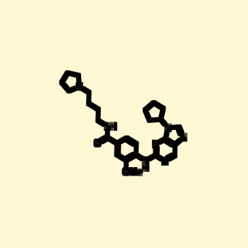 COc1cc(C(=O)NCCCCN2CCCC2)ccc1Nc1ncc2ncn(C3CCCC3)c2n1